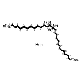 CCCCCCCCCCCCCCCCCCCCCCC(N)C(O)(O)CCCCCCCCCCCCCCCCCCCCCC.Cl